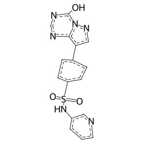 O=S(=O)(Nc1cccnc1)c1ccc(-c2cnn3c(O)ncnc23)cc1